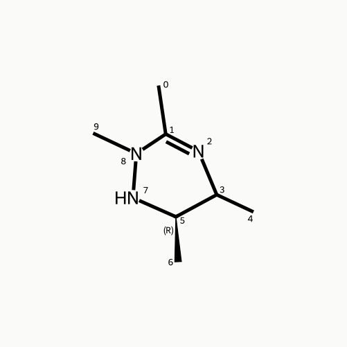 CC1=NC(C)[C@@H](C)NN1C